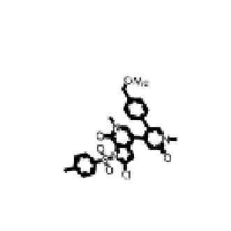 COCc1ccc(-c2cn(C)c(=O)cc2-c2cn(C)c(=O)c3c2cc(Cl)n3S(=O)(=O)c2ccc(C)cc2)cc1